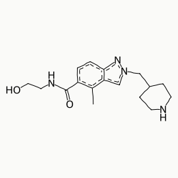 Cc1c(C(=O)NCCO)ccc2nn(CC3CCNCC3)cc12